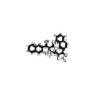 C=C(OC(=C)C(C)C(=O)c1ccc2ccccc2c1)C(C)C(=O)c1ccc2ccccc2c1